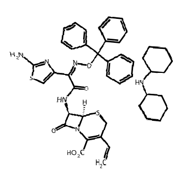 C1CCC(NC2CCCCC2)CC1.C=CC1=C(C(=O)O)N2C(=O)[C@@H](NC(=O)/C(=N\OC(c3ccccc3)(c3ccccc3)c3ccccc3)c3csc(N)n3)[C@H]2SC1